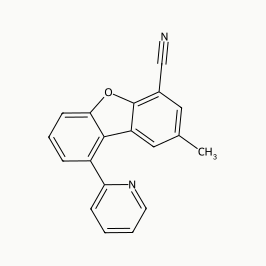 Cc1cc(C#N)c2oc3cccc(-c4ccccn4)c3c2c1